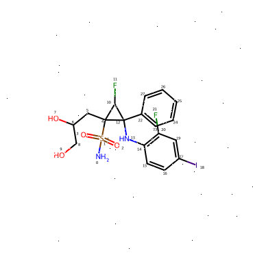 NS(=O)(=O)C1(CC(O)CO)C(F)C1(Nc1ccc(I)cc1F)c1ccccc1